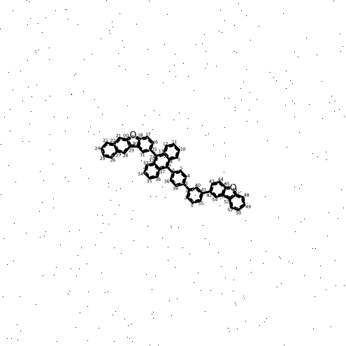 c1cc(-c2ccc(-c3c4ccccc4c(-c4ccc5oc6cc7ccccc7cc6c5c4)c4ccccc34)cc2)cc(-c2ccc3oc4ccccc4c3c2)c1